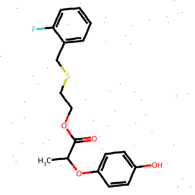 CC(Oc1ccc(O)cc1)C(=O)OCCSCc1ccccc1F